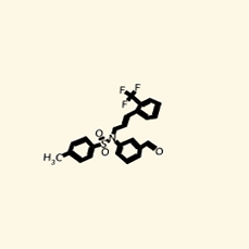 Cc1ccc(S(=O)(=O)N(CC=Cc2ccccc2C(F)(F)F)c2cccc(C=O)c2)cc1